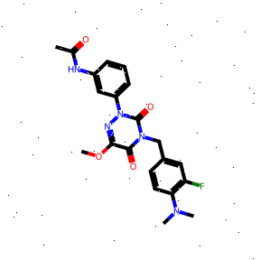 COc1nn(-c2cccc(NC(C)=O)c2)c(=O)n(Cc2ccc(N(C)C)c(F)c2)c1=O